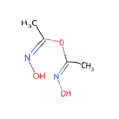 CC(=NO)OC(C)=NO